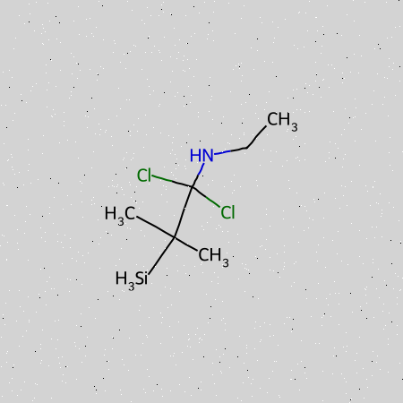 CCNC(Cl)(Cl)C(C)(C)[SiH3]